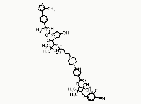 Cc1ncsc1-c1ccc([C@H](C)NC(=O)[C@@H]2C[C@@H](O)CN2C(=O)C(NC(=O)CCCN2CCN(c3ccc(C(=O)N[C@H]4C(C)(C)[C@H](Oc5ccc(C#N)c(Cl)c5)C4(C)C)cn3)CC2)C(C)(C)C)cc1